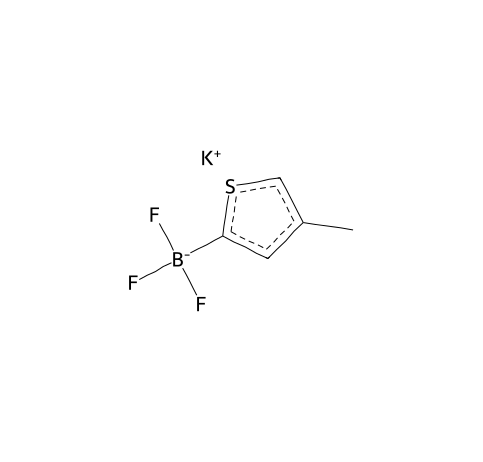 Cc1csc([B-](F)(F)F)c1.[K+]